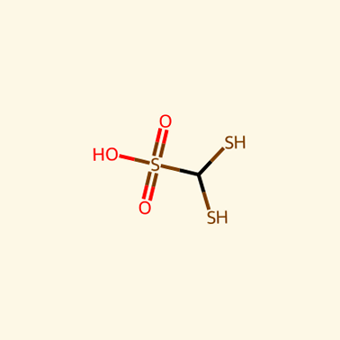 O=S(=O)(O)C(S)S